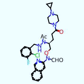 CC(=O)N(NCc1cccc(F)c1Cl)[C@@H](CCC(=O)N1CCN(C2CC2)CC1)CON(C=O)c1cc2ccccc2cn1